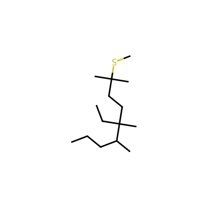 CCCC(C)C(C)(CC)CCC(C)(C)SC